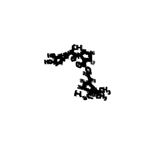 CC(NCc1ccc(O)c(O)c1)C(=O)N1CCCC1C(=O)OCCC1CCC2(C)C1C2(C)C